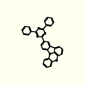 c1ccc(-c2nc(-c3ccccc3)nc(-c3ccc4c(c3)c3cccc5c3n4-c3ccccc3O5)n2)cc1